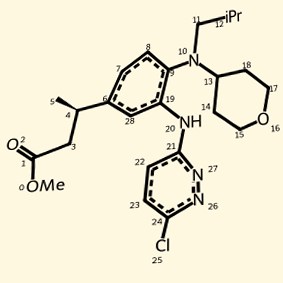 COC(=O)C[C@@H](C)c1ccc(N(CC(C)C)C2CCOCC2)c(Nc2ccc(Cl)nn2)c1